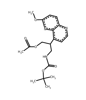 COc1ccc2nccc(C(CNC(=O)OC(C)(C)C)COC(C)=O)c2n1